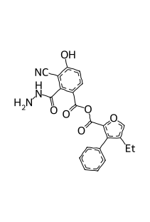 CCc1coc(C(=O)OC(=O)c2ccc(O)c(C#N)c2C(=O)NN)c1-c1ccccc1